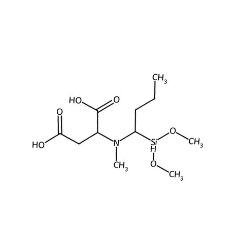 CCCC(N(C)C(CC(=O)O)C(=O)O)[SiH](OC)OC